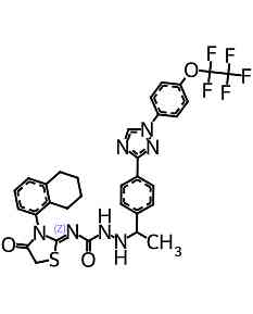 CC(NNC(=O)/N=C1\SCC(=O)N1c1cccc2c1CCCC2)c1ccc(-c2ncn(-c3ccc(OC(F)(F)C(F)(F)F)cc3)n2)cc1